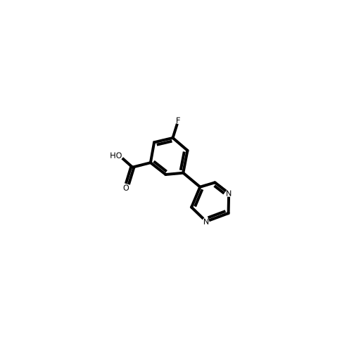 O=C(O)c1cc(F)cc(-c2cncnc2)c1